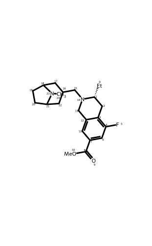 CC[C@@H]1Cc2c(F)cc(C(=O)OC)cc2CN1CC1CC2CCC(C1)N2C